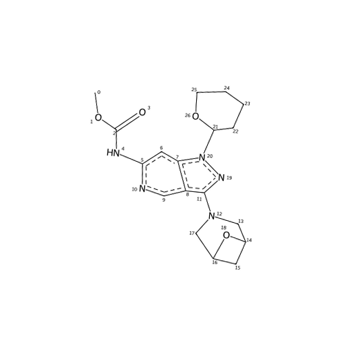 COC(=O)Nc1cc2c(cn1)c(N1CC3CC(C1)O3)nn2C1CCCCO1